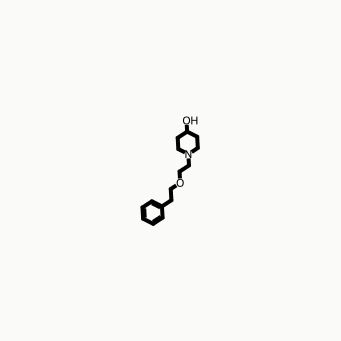 OC1CCN(CCOCCc2ccccc2)CC1